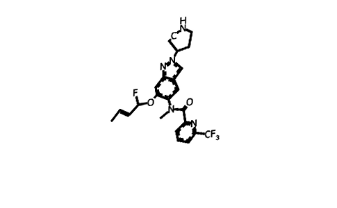 C/C=C/C(F)Oc1cc2nn(C3CCNCC3)cc2cc1N(C)C(=O)c1cccc(C(F)(F)F)n1